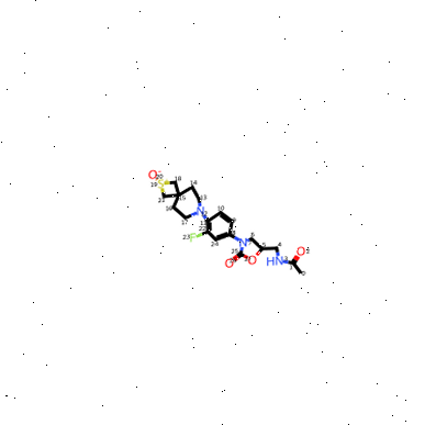 CC(=O)NCC1CN(c2ccc(N3CCC4(CC3)C[S+]([O-])C4)c(F)c2)C(=O)O1